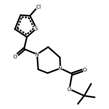 CC(C)(C)OC(=O)N1CCN(C(=O)c2ccc(Cl)s2)CC1